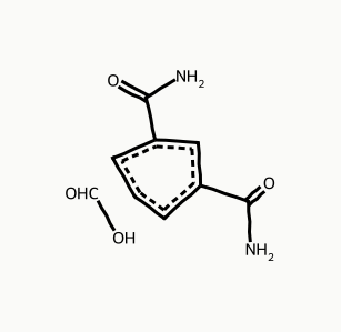 NC(=O)c1cccc(C(N)=O)c1.O=CO